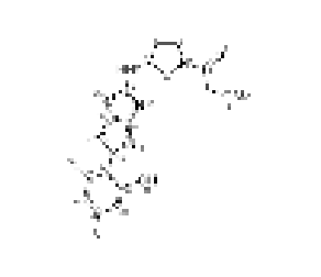 COCC(=O)N1CCC(Nc2nc3nn(-c4c(C)cc(C)cc4O)cc3s2)C1